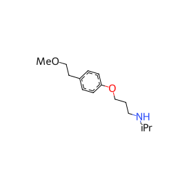 COCCc1ccc(OCCCNC(C)C)cc1